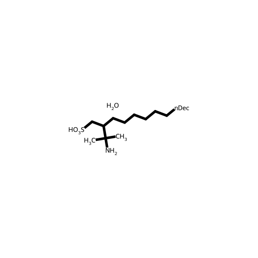 CCCCCCCCCCCCCCCCC(CS(=O)(=O)O)C(C)(C)N.O